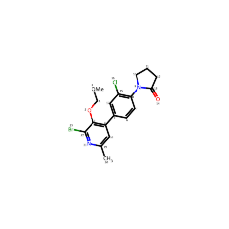 COCOc1c(-c2ccc(N3CCCC3=O)c(Cl)c2)cc(C)nc1Br